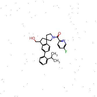 CC(C)c1ccccc1-c1ccc2c(c1)C(CO)CC21CCN(C(=O)c2ccc(F)cn2)C1